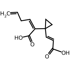 C=CCC=C(C(=O)O)C1(C=CC(=O)O)CC1